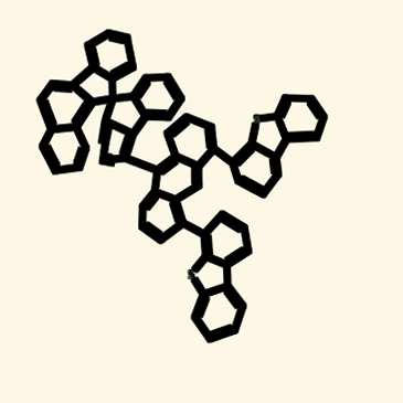 c1ccc2c(c1)-c1ccc3ccccc3c1C21c2ccccc2-c2c(-c3c4cccc(-c5cccc6c5sc5ccccc56)c4cc4c(-c5cccc6c5sc5ccccc56)cccc34)cccc21